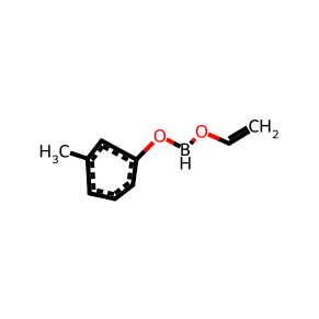 C=COBOc1cccc(C)c1